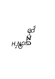 NC(=O)c1ccc2c(c1)CCOC2CCN1CCC(c2coc3cc(F)ccc23)CC1